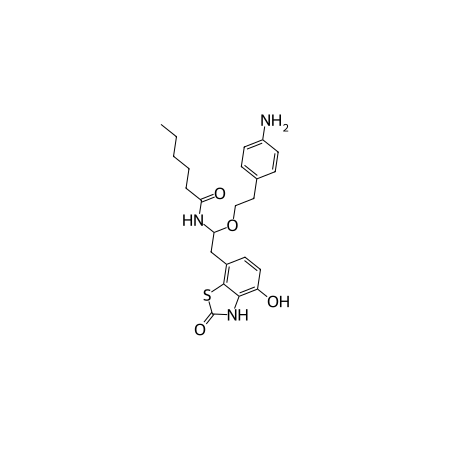 CCCCCC(=O)NC(Cc1ccc(O)c2[nH]c(=O)sc12)OCCc1ccc(N)cc1